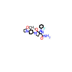 Cc1cc(N2CCc3c(C(N)=O)nn(-c4ccccc4F)c3C2=O)ccc1N1CCCC1=O